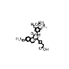 COc1ccc2c(c1)CCN(C(=O)C1CC(CC(=O)O)C1)C2C(=O)Nc1cc(F)c(S(C)(C)C)c(F)c1